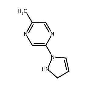 Cc1cnc(N2C=CCN2)cn1